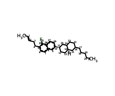 C/C=C/CCc1ccc2cc([C@@H]3CC[C@@H]4CC(CCCCC)CCC4C3)ccc2c1F